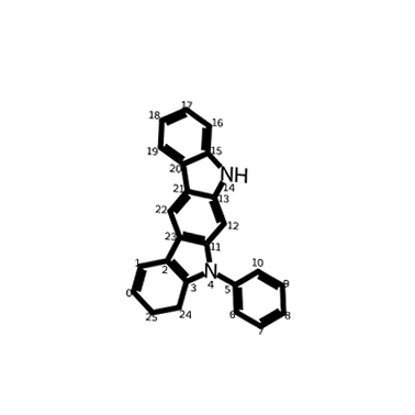 C1=Cc2c(n(-c3ccccc3)c3cc4[nH]c5ccccc5c4cc23)CC1